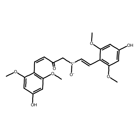 COc1cc(O)cc(OC)c1/C=C\C(=O)C[S+]([O-])/C=C/c1c(OC)cc(O)cc1OC